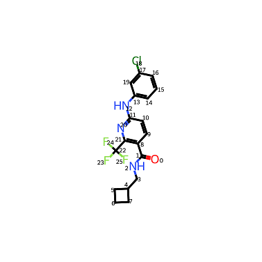 O=C(NCC1CCC1)c1ccc(Nc2cccc(Cl)c2)nc1C(F)(F)F